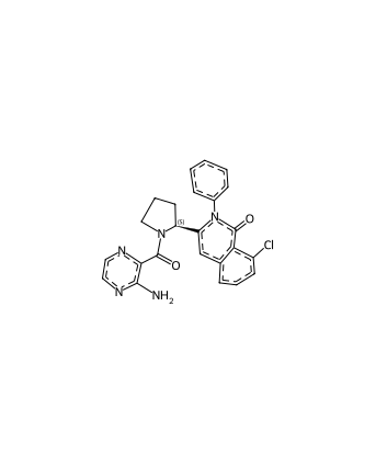 Nc1nccnc1C(=O)N1CCC[C@H]1c1cc2cccc(Cl)c2c(=O)n1-c1ccccc1